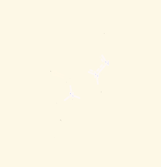 CC(=O)c1cc2n(n1)CCN(CC1CC1)C2=O